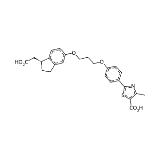 Cc1nc(-c2ccc(OCCCOc3ccc4c(c3)CC[C@H]4CC(=O)O)cc2)sc1C(=O)O